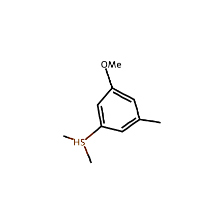 COc1cc(C)cc([SH](C)C)c1